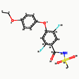 CCOc1ccc(Oc2cc(F)c(C(=O)NS(C)(=O)=O)cc2F)cc1